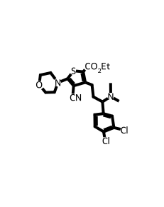 CCOC(=O)c1sc(N2CCOCC2)c(C#N)c1CCC(c1ccc(Cl)c(Cl)c1)N(C)C